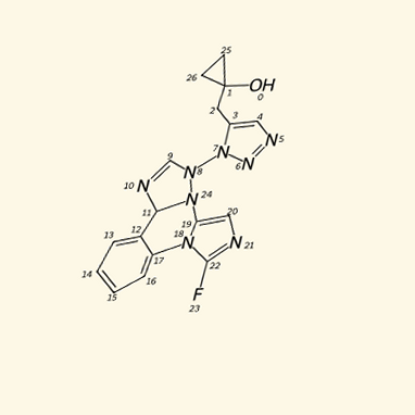 OC1(Cc2cnnn2N2C=NC3c4ccccc4-n4c(cnc4F)N32)CC1